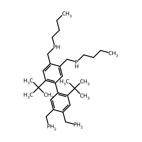 CCCCPCc1cc(-c2cc(CP)c(CP)cc2C(C)(C)C)c(C(C)(C)C)cc1CPCCCC